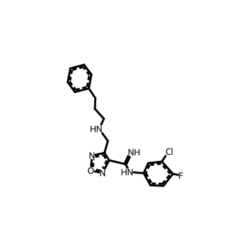 N=C(Nc1ccc(F)c(Cl)c1)c1nonc1CNCCCc1ccccc1